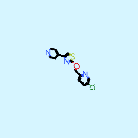 Clc1ccc(COc2nc(C3=CCN=CC3)cs2)nc1